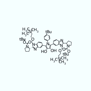 CC(C)(C)OC(=O)N1CCCC1c1nc2ccc(-c3c(O)c(O)c(-c4ccc5c(c4)nc([C@@H]4CCCN4C(=O)OC(C)(C)C)n5COCC[Si](C)(C)C)n3-c3ccc(C(C)(C)C)cc3)cc2n1COCC[Si](C)(C)C